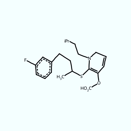 CC(C)CCN1CC=CC(OC(=O)O)=C1SC(C)CCc1cccc(F)c1